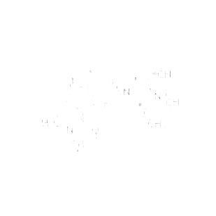 C[C@@H]1CN(c2ccc3occ(C(=O)N(C)C)c3c2)C[C@H](C)N1C